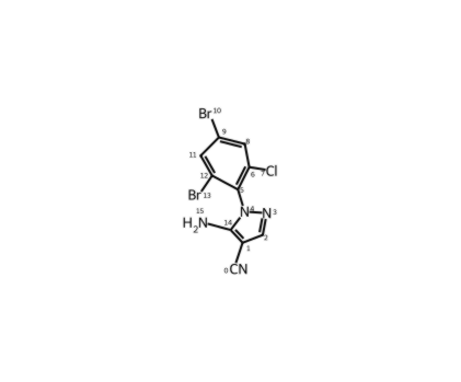 N#Cc1cnn(-c2c(Cl)cc(Br)cc2Br)c1N